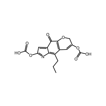 CCCC1=C2N=C(OC(=O)O)C=C2C(=O)C2=C1C=C(OC(=O)O)CO2